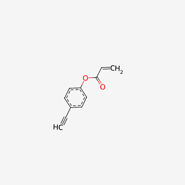 C#Cc1ccc(OC(=O)C=C)cc1